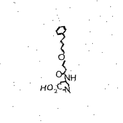 CN(C)CC(CC(=O)O)NC(=O)CCCOCCCCCc1ccccc1